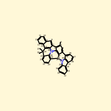 Cc1cc2c3c4c1c1cc5ccccc5c5c1n4-c1c(cccc1C5(C)C)B3n1c3ccccc3c3cccc-2c31